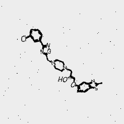 Cc1nc2cc(OC[C@H](O)CN3CCN(Cc4nc(-c5cccc(Cl)c5)no4)CC3)ccc2s1